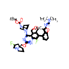 CN(C)/C=N/c1oc2cccc(-c3c4c(c5c(N6C7CCC78C6CN8C(=O)OC(C)(C)C)nc(OC[C@@]67CCCN6CC(F)C7)nc5c3F)COC4)c2c1C#N